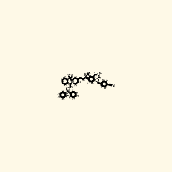 CN(C)Cc1c(OCc2ccc(C#N)cc2)ccc2c(CCC3CCN(C(CO[SiH](c4ccccc4)c4ccccc4)[C@@H]4CCCC[C@@H]4C(C)(C)C)CC3)noc12